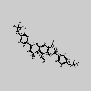 COc1cc2oc(-c3ccc(OC(F)(F)F)cc3)cc(=O)c2c(OC)c1OC(=O)c1ccc(OC(F)(F)F)cc1